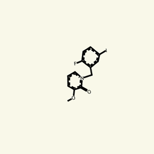 COc1cccn(Cc2cc(I)ccc2F)c1=O